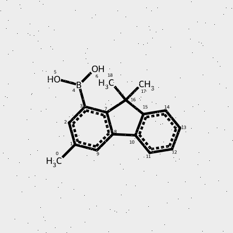 Cc1cc(B(O)O)c2c(c1)-c1ccccc1C2(C)C